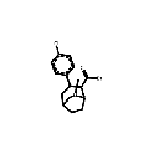 CCC(=O)C1C(c2ccc(Cl)cc2)CC2CCC1N(C)C2